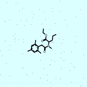 CCCC(C(=O)OCC)N(C)C(=O)Cc1c(C)cc(C)cc1C